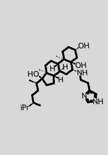 CC(C)[C@H](C)CC[C@@H](C)[C@@]1(O)CC[C@H]2[C@@H]3C[C@@H](NCCc4c[nH]cn4)[C@@]4(O)C[C@@H](O)CC[C@]4(C)[C@H]3CC[C@@]21C